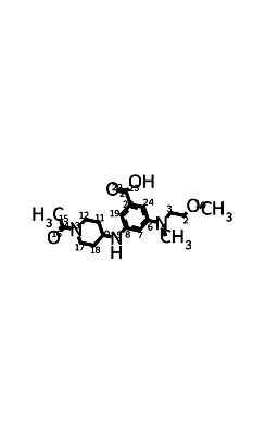 COCCN(C)c1cc(NC2CCN(C(C)=O)CC2)cc(C(=O)O)c1